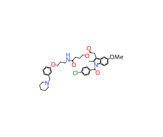 COc1ccc2c(c1)c(CC(=O)OCCCC(=O)NCCCOc1cccc(CN3CCCCC3)c1)c(C)n2C(=O)c1ccc(Cl)cc1